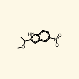 COC(C)c1cc2cc([N+](=O)[O-])ccc2[nH]1